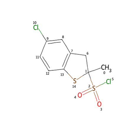 CC1(S(=O)(=O)Cl)Cc2cc(Cl)ccc2S1